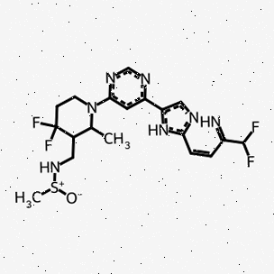 CC1C(CN[S+](C)[O-])C(F)(F)CCN1c1cc(-c2cnc(/C=C\C(=N)C(F)F)[nH]2)ncn1